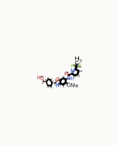 COc1cc2nc([C@H]3CC[C@H](CO)CC3)oc2cc1NC(=O)c1cccc(C(C)(F)F)n1